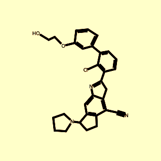 N#Cc1c2c(cc3c1CCC3N1CCCC1)N=C(c1cccc(-c3cccc(OCCO)c3)c1Cl)C2